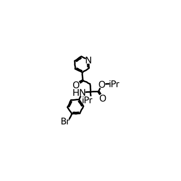 CC(C)OC(=O)C(CC(=O)c1cccnc1)(Nc1ccc(Br)cc1)C(C)C